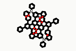 c1ccc(-c2cc(-c3ccccc3)c(-c3cc4c5c(cc6c(-c7c(-c8ccccc8)cc(-c8ccccc8)cc7-c7ccccc7)cc7c8c(cc3c5c68)B3c5ccccc5-c5cc(N(c6ccccc6)c6ccccc6)cc-7c53)B3c5ccccc5-c5cc(N(c6ccccc6)c6ccccc6)cc-4c53)c(-c3ccccc3)c2)cc1